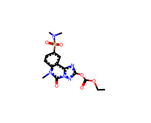 CCOC(=O)Oc1nc2c3cc(S(=O)(=O)N(C)C)ccc3n(C)c(=O)n2n1